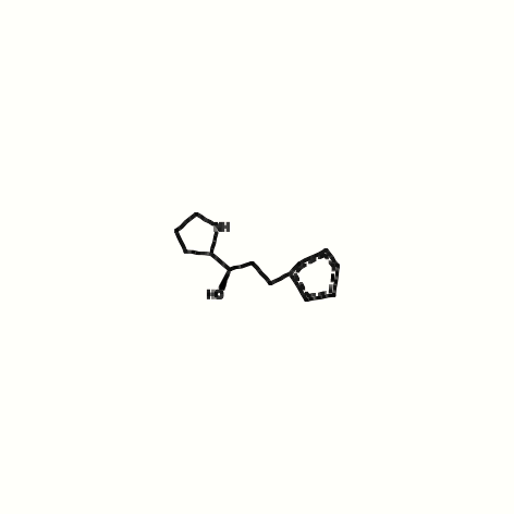 O[C@H](CCc1ccccc1)C1CCCN1